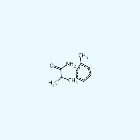 CC(C)C(N)=O.Cc1ccccc1